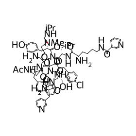 CN[C@@H](Cc1ccc(O)cc1)C(=O)N(C(=O)[C@H](CC(C)C)NC(=O)[C@H](N)CCCCNC(=O)c1cccnc1)C(=O)[C@](CC(=O)[C@@H](Cc1ccc2ccccc2c1)NC(C)=O)(C(=O)[C@H](N)Cc1ccc(Cl)cc1)N(C(=O)[C@H](CO)NC(=O)[C@H](N)Cc1cccnc1)C(=O)[C@@H]1CCCN1C(=O)[C@@H](N)CCCCNC(C)C